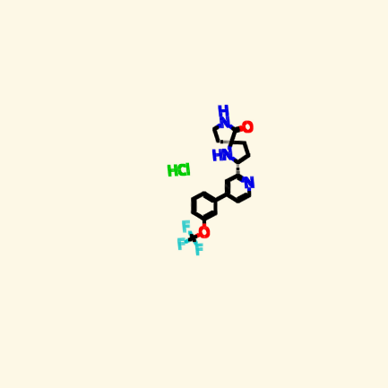 Cl.O=C1NCC[C@@]12CC[C@H](c1cc(-c3cccc(OC(F)(F)F)c3)ccn1)N2